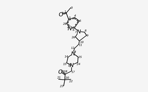 CC(=O)c1ccc(N2CCC(CCN3CCN(CC(=O)C(C)(C)C)CC3)C2)nc1